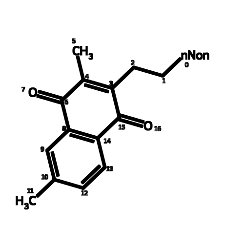 CCCCCCCCCCCC1=C(C)C(=O)c2cc(C)ccc2C1=O